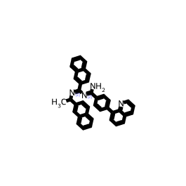 CC(/N=C(\N=C(/N)c1ccc(-c2cccc3cccnc23)cc1)c1ccc2ccccc2c1)c1ccc2ccccc2c1